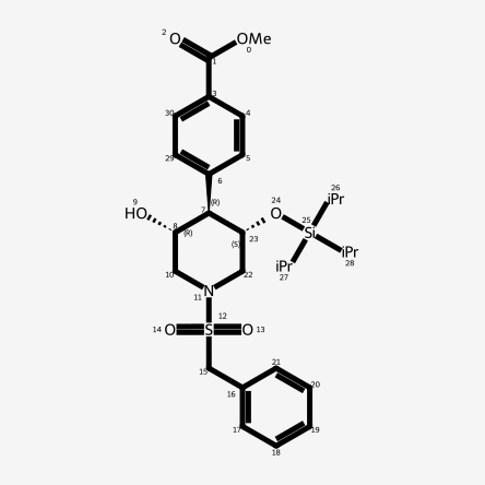 COC(=O)c1ccc([C@@H]2[C@@H](O)CN(S(=O)(=O)Cc3ccccc3)C[C@H]2O[Si](C(C)C)(C(C)C)C(C)C)cc1